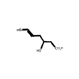 CCCCC=CCC(O)CC(=O)O